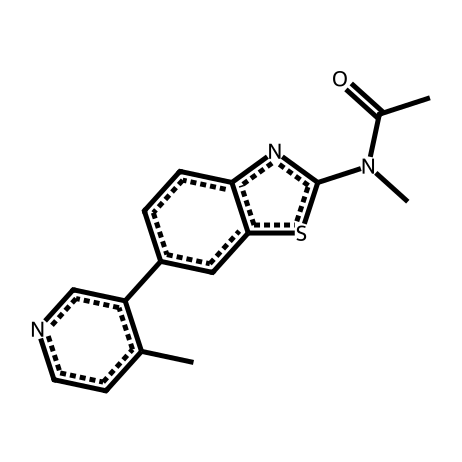 CC(=O)N(C)c1nc2ccc(-c3cnccc3C)cc2s1